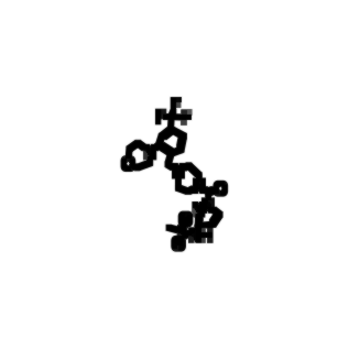 CS(=O)(=O)Nc1ccn(C(=O)N2CCN(Cc3ccc(C(F)(F)F)cc3N3CCOCC3)CC2)n1